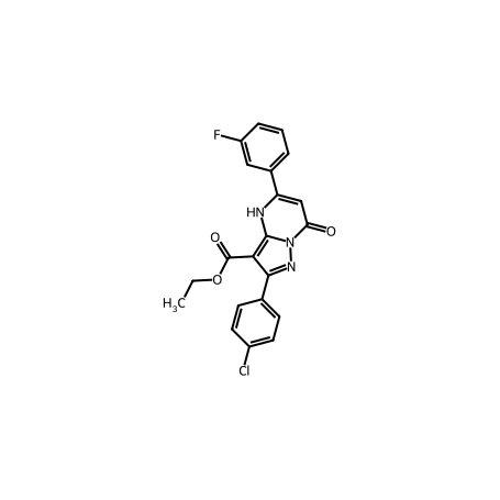 CCOC(=O)c1c(-c2ccc(Cl)cc2)nn2c(=O)cc(-c3cccc(F)c3)[nH]c12